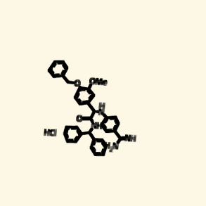 COc1cc([C@@H](Nc2ccc(C(=N)N)cc2)C(=O)NC(c2ccccc2)c2ccccc2)ccc1OCc1ccccc1.Cl